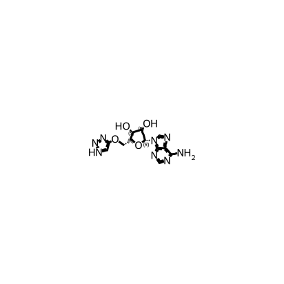 Nc1ncnc2c1ncn2[C@@H]1O[C@H](COc2c[nH]nn2)[C@@H](O)[C@H]1O